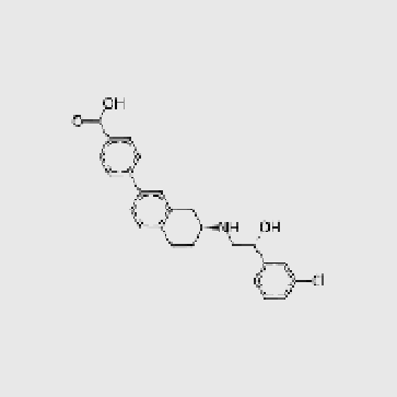 O=C(O)c1ccc(-c2ccc3c(c2)C[C@@H](NC[C@H](O)c2cccc(Cl)c2)CC3)cc1